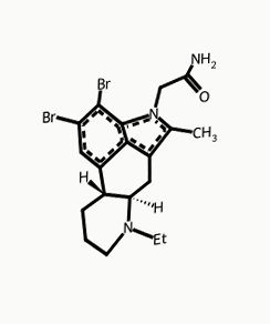 CCN1CCC[C@@H]2c3cc(Br)c(Br)c4c3c(c(C)n4CC(N)=O)C[C@H]21